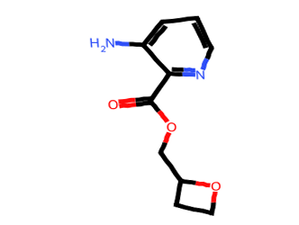 Nc1cccnc1C(=O)OCC1CCO1